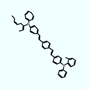 C/C=C(\C/C=C\CC)N(C1=CC=CCC=C1)c1ccc(/C=C/c2ccc(/C=C/c3ccc(N(c4ccccc4)c4ccccc4C)cc3)cc2)cc1